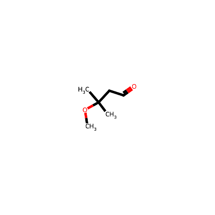 COC(C)(C)CC=O